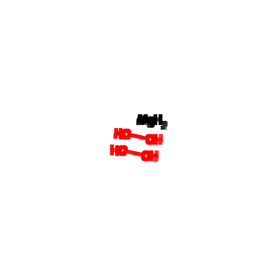 OO.OO.[MgH2]